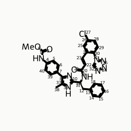 COC(=O)Nc1ccc(-c2nc([C@H](Cc3ccccc3)NC(=O)C=Cc3cc(Cl)ccc3-n3cnnn3)[nH]c2C)cc1